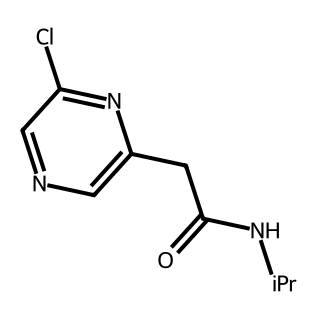 CC(C)NC(=O)Cc1cncc(Cl)n1